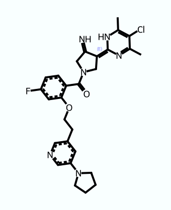 CC1=N/C(=C2\CN(C(=O)c3ccc(F)cc3OCCc3cncc(N4CCCC4)c3)CC2=N)NC(C)=C1Cl